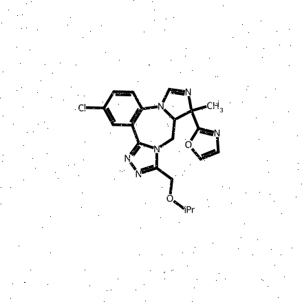 CC(C)OCc1nnc2n1CC1N(C=NC1(C)c1ncco1)c1ccc(Cl)cc1-2